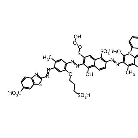 Cc1cc(N=Nc2c(SOOO)cc3c(S(=O)(=O)O)c(N=Nc4c(C)c(C#N)c5nc6ccccc6n5c4O)ccc3c2O)c(OCCCS(=O)(=O)O)cc1N=Nc1nc2ccc(C(=O)O)cc2s1